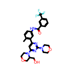 Cc1ccc(NC(=O)c2cccc(C(F)(F)F)c2)cc1-c1cc(N2CCOCC2CO)nc(N2CCOCC2)n1